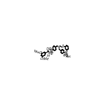 COc1cc(OC)cc(C(=O)NS(=O)(=O)c2ccc(CN(CCSc3ccccc3)Cc3ccc(S(=O)(=O)N=N)cc3)cc2)c1